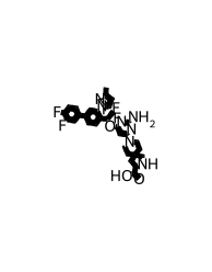 Cc1ccn(-c2cc(-c3ccc(F)c(F)c3)ccc2C(Oc2cc(N3CCC4(CC3)CNC(C(=O)O)C4)nc(N)n2)C(F)(F)F)n1